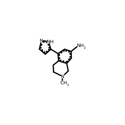 CN1CCc2c(cc(N)cc2-c2ccn[nH]2)C1